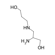 NC(CO)CNCCCO